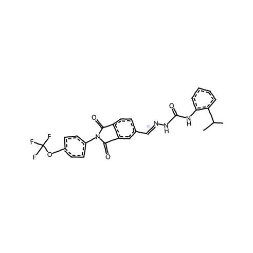 CC(C)c1ccccc1NC(=O)N/N=C/c1ccc2c(c1)C(=O)N(c1ccc(OC(F)(F)F)cc1)C2=O